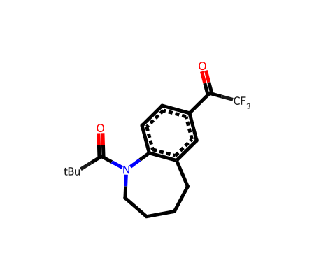 CC(C)(C)C(=O)N1CCCCc2cc(C(=O)C(F)(F)F)ccc21